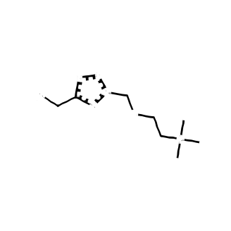 C[Si](C)(C)CCOCn1nnc(CN)n1